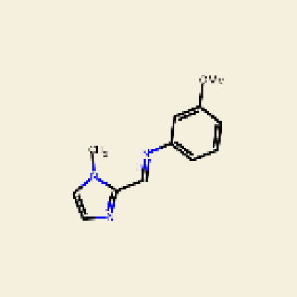 COc1cccc(/N=C/c2nccn2C)c1